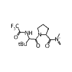 C=[N+](C)C(=O)C1CCCN1C(=O)C(NC(=O)C(F)(F)F)C(C)(C)C